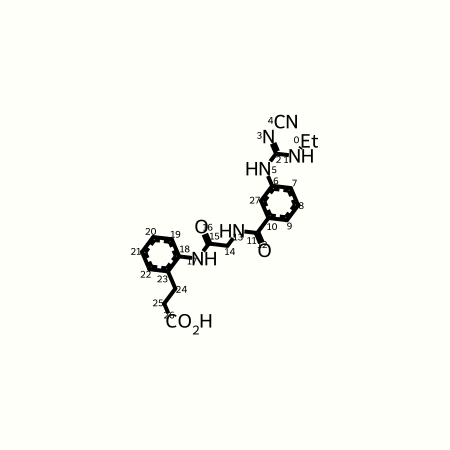 CCN/C(=N\C#N)Nc1cccc(C(=O)NCC(=O)Nc2ccccc2CCC(=O)O)c1